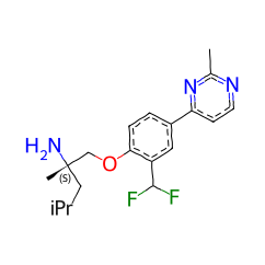 Cc1nccc(-c2ccc(OC[C@@](C)(N)CC(C)C)c(C(F)F)c2)n1